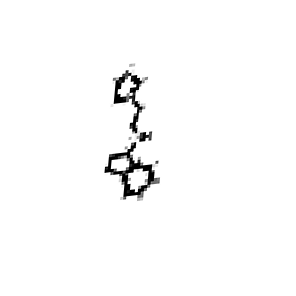 [c]1cn(CCNC2CCc3ccccc32)cn1